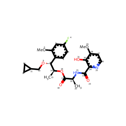 COc1cc(F)ccc1[C@@H](OCC1CC1)[C@H](C)OC(=O)[C@H](C)NC(=O)c1nccc(OC)c1O